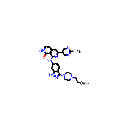 COCCN1CCN(c2n[nH]c3cc(Nc4nc(-c5cnc(OC)nc5)cc5cc[nH]c(=O)c45)ccc23)CC1